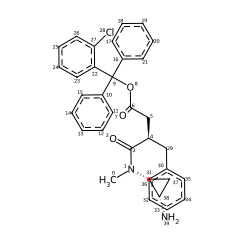 CN(C(=O)[C@@H](CC(=O)OC(c1ccccc1)(c1ccccc1)c1ccccc1Cl)Cc1ccccc1)[C@@H]1C[C@@H]1N